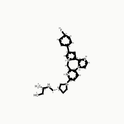 C[C@@H](CO)NC[C@H]1CCN(c2ccc3c(n2)Cn2cc(-c4ccc(F)cc4)cc2-c2nccn2-3)C1